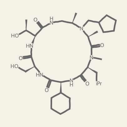 CC(C)C[C@H]1C(=O)N[C@@H](C2CCCCC2)C(=O)N[C@@H](CO)C(=O)N[C@@H]([C@H](C)O)C(=O)NC[C@@H](C)N(CC2CCCC2)[C@@H](C)C(=O)N1C